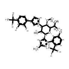 CO[C@H]1C(C(C)O)O[C@@H](c2nc(C)nn2-c2cc(Cl)ccc2C(F)(F)F)C(O)C1n1cc(-c2ccc(C(F)(F)F)c(F)c2F)cn1